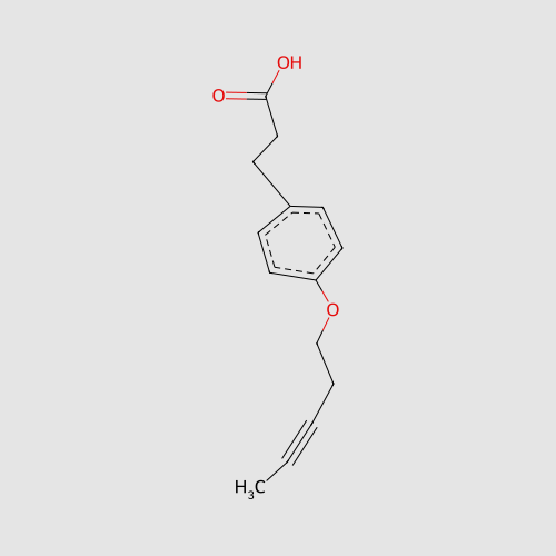 CC#CCCOc1ccc(CCC(=O)O)cc1